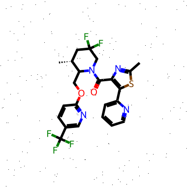 Cc1nc(C(=O)N2CC(F)(F)C[C@@H](C)C2COc2ccc(C(F)(F)F)cn2)c(-c2ccccn2)s1